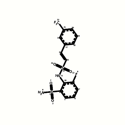 NS(=O)(=O)c1cccc(F)c1NS(=O)(=O)C=Cc1cccc(C(F)(F)F)c1